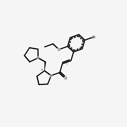 CCOc1ccc(Br)cc1/C=C/C(=O)N1CCC[C@H]1CN1CCCC1